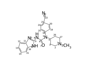 CN1CCC(N(C(=O)Nc2nc3ccccc3[nH]2)c2ccc(C#N)cc2)CC1